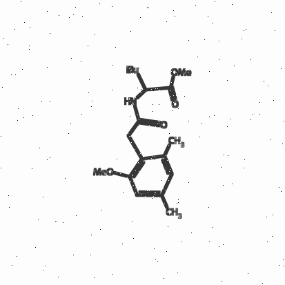 CCC(C)C(NC(=O)Cc1c(C)cc(C)cc1OC)C(=O)OC